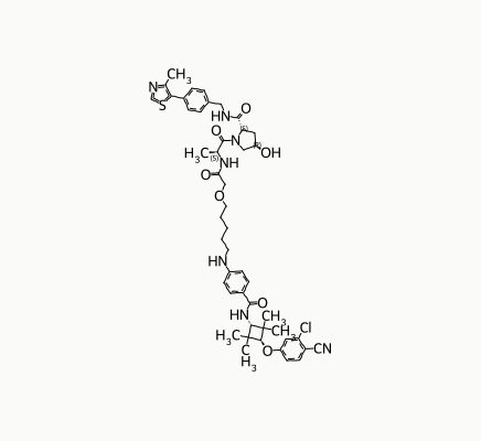 Cc1ncsc1-c1ccc(CNC(=O)[C@@H]2C[C@@H](O)CN2C(=O)[C@H](C)NC(=O)COCCCCCNc2ccc(C(=O)N[C@H]3C(C)(C)[C@H](Oc4ccc(C#N)c(Cl)c4)C3(C)C)cc2)cc1